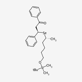 C[C@H](CCCCO[Si](C)(C)C(C)(C)C)[Se][C@H](CC(=O)c1ccccc1)c1ccccc1